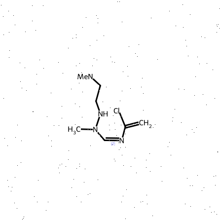 C=C(Cl)/N=C\N(C)NCCNC